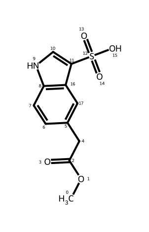 COC(=O)Cc1ccc2[nH]cc(S(=O)(=O)O)c2c1